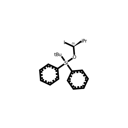 CC(C)[C@H](I)O[Si](c1ccccc1)(c1ccccc1)C(C)(C)C